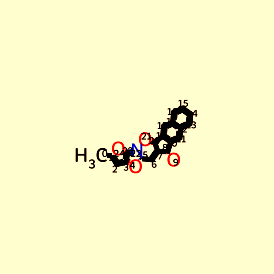 Cc1cc2oc(C=C3C(=O)c4cc5ccccc5cc4C3=O)nc2o1